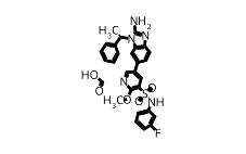 COc1ncc(-c2ccc3nc(N)n([C@H](C)c4ccccc4)c3c2)cc1S(=O)(=O)Nc1cccc(F)c1.O=CO